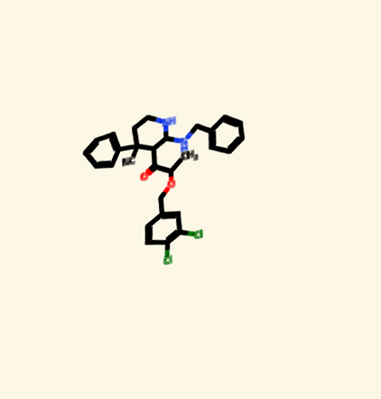 CC(OCc1ccc(Cl)c(Cl)c1)C(=O)C1C(NCc2ccccc2)NCCC1(C#N)c1ccccc1